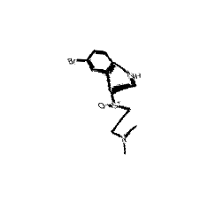 CN(C)CC[S+]([O-])c1c[nH]c2ccc(Br)cc12